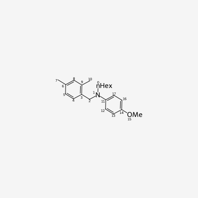 CCCCCCN(Cc1ccc(C)cc1C)c1ccc(OC)cc1